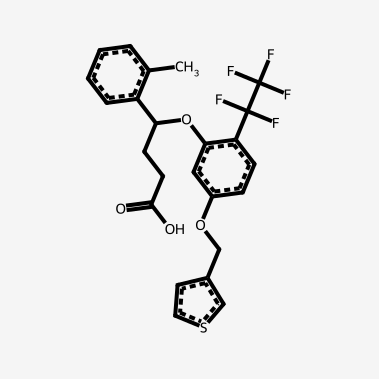 Cc1ccccc1C(CCC(=O)O)Oc1cc(OCc2ccsc2)ccc1C(F)(F)C(F)(F)F